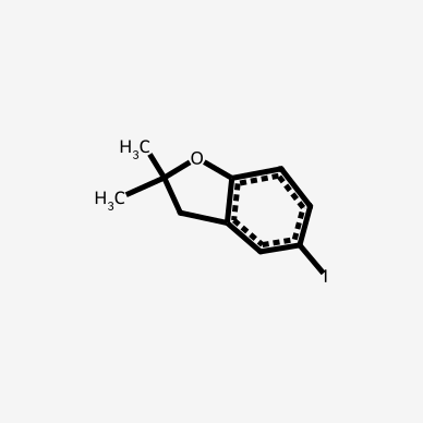 CC1(C)Cc2cc(I)ccc2O1